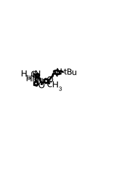 Cc1cc(C(=O)N2Cc3cnn(C)c3Nc3ccccc32)ccc1OCCCN1CCN(CCC(C)(C)C)CC1